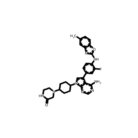 Cc1ccc2oc(Nc3ccc(-c4cn(C5CCC(N6CCNC(=O)C6)CC5)c5ncnc(N)c45)cc3F)nc2c1